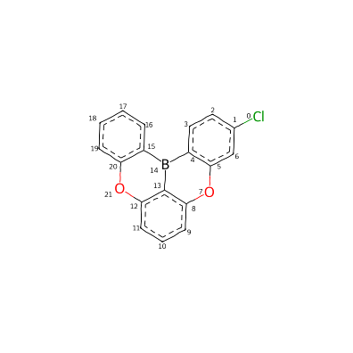 Clc1ccc2c(c1)Oc1cccc3c1B2c1ccccc1O3